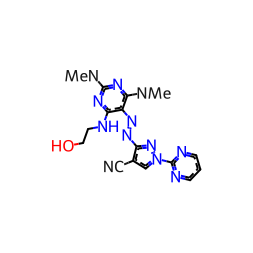 CNc1nc(NC)c(/N=N/c2nn(-c3ncccn3)cc2C#N)c(NCCO)n1